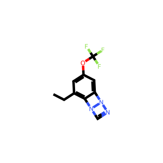 CCc1cc(OC(F)(F)F)cc2c1n1cnn21